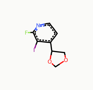 Fc1nccc(C2COCO2)c1I